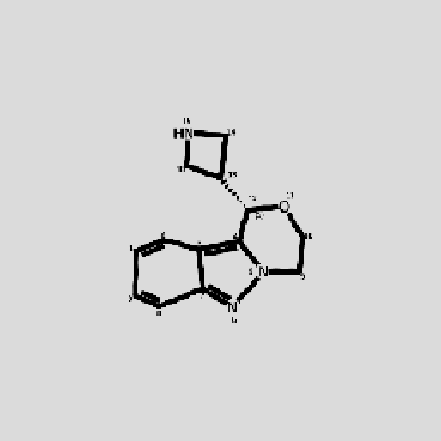 c1ccc2c3n(nc2c1)CCO[C@H]3C1CNC1